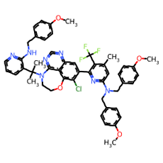 COc1ccc(CNc2ncccc2C(C)(C)N2CCOc3c(Cl)c(-c4nc(N(Cc5ccc(OC)cc5)Cc5ccc(OC)cc5)cc(C)c4C(F)(F)F)cc4ncnc2c34)cc1